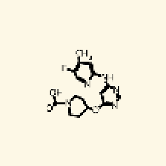 Cc1cc(Nc2cc(OC3CCN(C(=O)O)CC3)ncn2)ncc1F